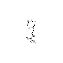 [CH2]C(=O)OCCC1CCCCCC1